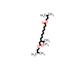 CC(C)CCOC(=O)CCCCCCCCC(CC(=O)OCCC(C)C)C(C)C